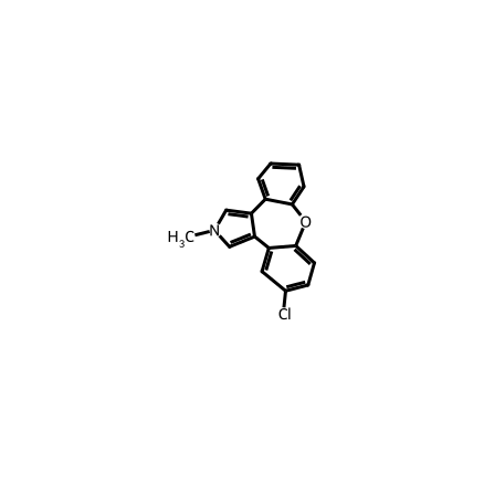 Cn1cc2c(c1)-c1cc(Cl)ccc1Oc1ccccc1-2